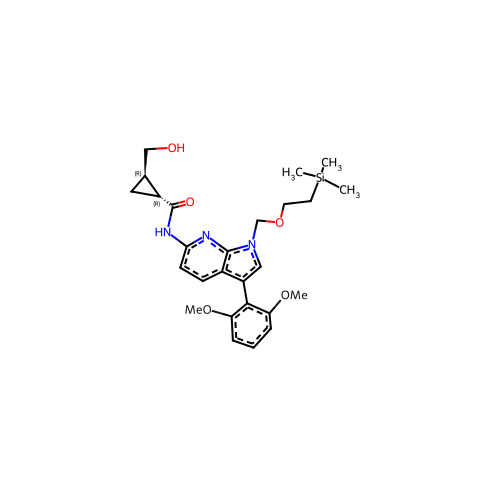 COc1cccc(OC)c1-c1cn(COCC[Si](C)(C)C)c2nc(NC(=O)[C@@H]3C[C@H]3CO)ccc12